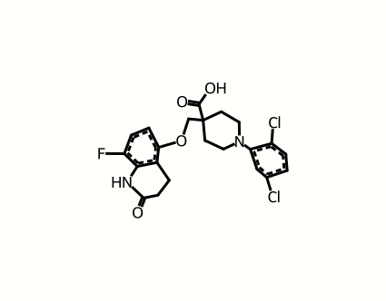 O=C1CCc2c(OCC3(C(=O)O)CCN(c4cc(Cl)ccc4Cl)CC3)ccc(F)c2N1